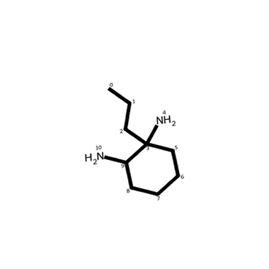 CCCC1(N)CCCCC1N